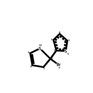 BrC1(c2cccs2)CC=CS1